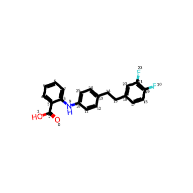 O=C(O)c1ccccc1Nc1ccc(CCc2ccc(F)c(F)c2)cc1